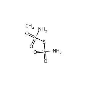 C.NS(=O)(=O)SS(N)(=O)=O